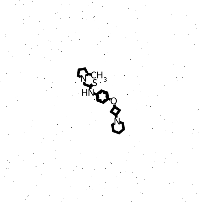 CC1CCCN1CC(=S)Nc1ccc(OC2CC(N3CCCCC3)C2)cc1